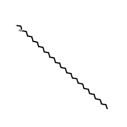 [CH2]CNCCCCCCCCCCCCCCCCCCCCCCCCCCCCCC